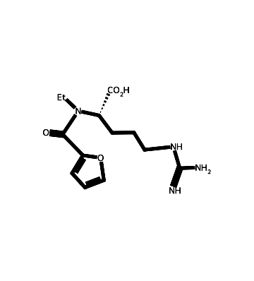 CCN(C(=O)c1ccco1)[C@@H](CCCNC(=N)N)C(=O)O